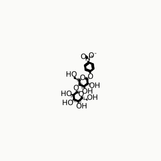 O=[N+]([O-])c1ccc(O[C@H]2O[C@H](CO)[C@H](O[C@@H]3O[C@H](CO)[C@H](O)[C@H](O)[C@H]3O)[C@H](O)[C@H]2O)cc1